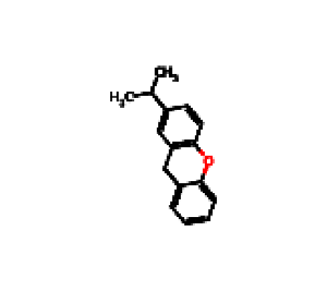 CC(C)c1ccc2c(c1)Cc1ccccc1O2